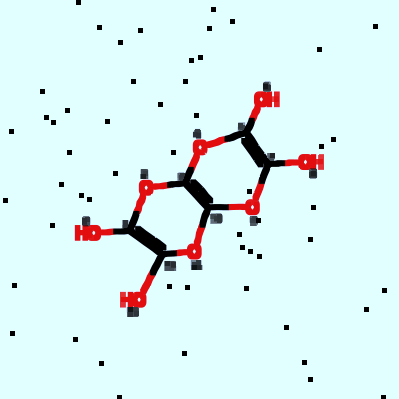 Oc1oc2oc(O)c(O)oc=2oc1O